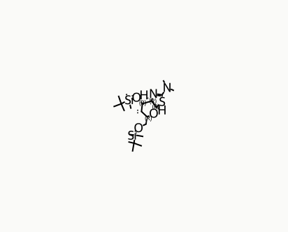 CN(C)C1=N[C@H]2[C@H](O[C@@H](CO[Si](C)(C)C(C)(C)C)[C][C@H]2O[Si](C)(C)C(C)(C)C)S1